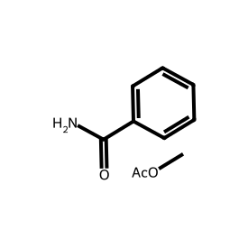 COC(C)=O.NC(=O)c1ccccc1